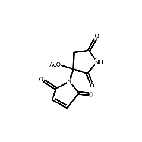 CC(=O)OC1(N2C(=O)C=CC2=O)CC(=O)NC1=O